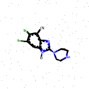 CCn1c(N2CCNCC2)nc2c(C#N)c(Br)c(Br)cc21